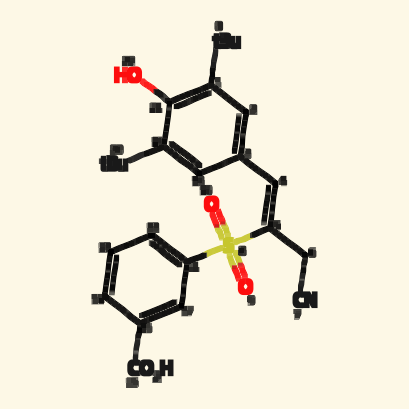 CC(C)(C)c1cc(C=C(CC#N)S(=O)(=O)c2cccc(C(=O)O)c2)cc(C(C)(C)C)c1O